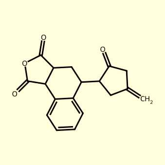 C=C1CC(=O)C(C2CC3C(=O)OC(=O)C3c3ccccc32)C1